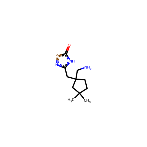 CC1(C)CCC(CN)(Cc2nsc(=O)[nH]2)C1